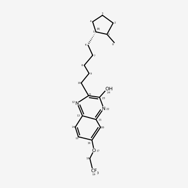 CC1CCC[C@H]1CCCCCc1nc2ccc(OCC(F)(F)F)cc2nc1O